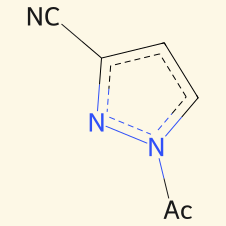 CC(=O)n1ccc(C#N)n1